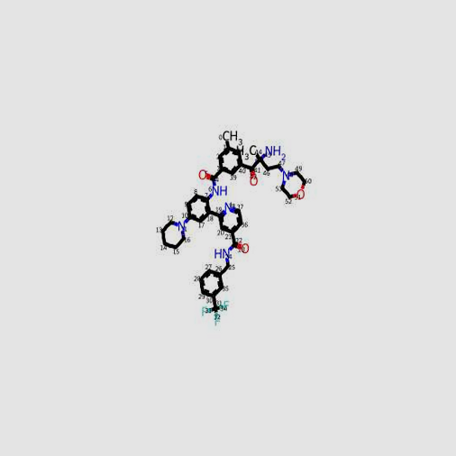 Cc1cc(C(=O)Nc2ccc(N3CCCCC3)cc2-c2cc(C(=O)NCc3cccc(C(F)(F)F)c3)ccn2)cc(C(=O)C(C)(N)CCN2CCOCC2)c1